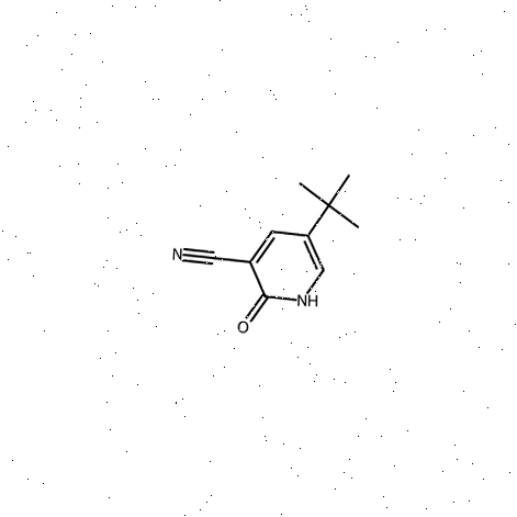 CC(C)(C)c1c[nH]c(=O)c(C#N)c1